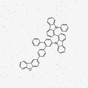 c1ccc(-c2ccc(-n3c4ccccc4c4cccc(-c5cccc6c7ccccc7n(-c7ccccc7)c56)c43)cc2-c2ccc(-c3ccc4oc5ccccc5c4c3)cc2)cc1